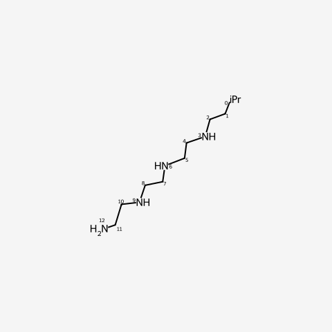 CC(C)CCNCCNCCNCCN